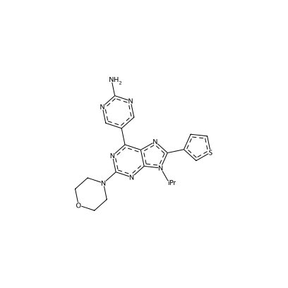 CC(C)n1c(-c2ccsc2)nc2c(-c3cnc(N)nc3)nc(N3CCOCC3)nc21